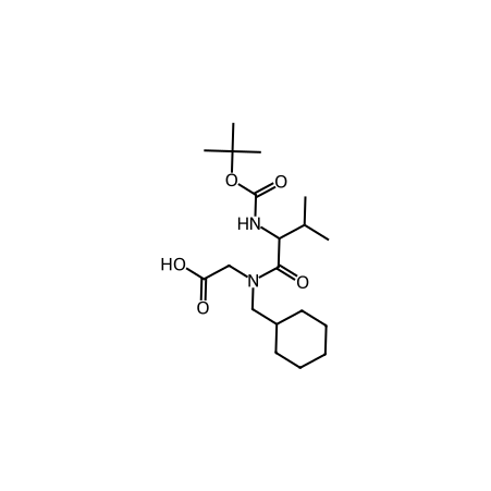 CC(C)C(NC(=O)OC(C)(C)C)C(=O)N(CC(=O)O)CC1CCCCC1